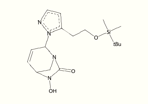 CC(C)(C)[Si](C)(C)OCCc1ccnn1C1C=CC2CN1C(=O)N2O